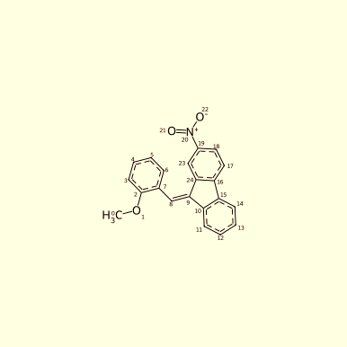 COc1ccccc1C=C1c2ccccc2-c2ccc([N+](=O)[O-])cc21